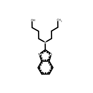 CCCCN(CCCO)c1nc2ccccc2s1